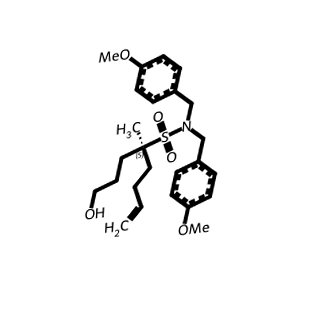 C=CCC[C@@](C)(CCCO)S(=O)(=O)N(Cc1ccc(OC)cc1)Cc1ccc(OC)cc1